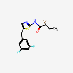 CCC(Br)C(=O)Nc1ncc(Cc2cc(F)cc(F)c2)s1